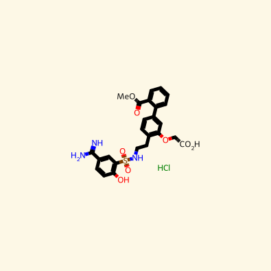 COC(=O)c1ccccc1-c1ccc(CCNS(=O)(=O)c2cc(C(=N)N)ccc2O)c(OCC(=O)O)c1.Cl